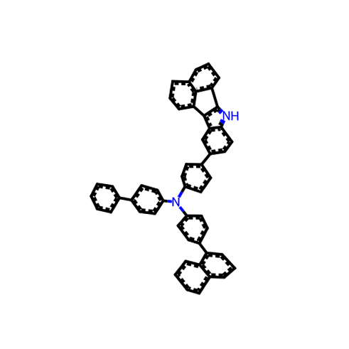 c1ccc(-c2ccc(N(c3ccc(-c4ccc5[nH]c6c(c5c4)-c4cccc5cccc-6c45)cc3)c3ccc(-c4cccc5ccccc45)cc3)cc2)cc1